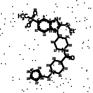 CCSc1nc2cc(S(C)(=O)=O)ccc2n1C1CCN(C(=O)C2CCN(Cc3ccsc3)CC2)CC1